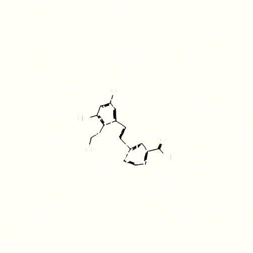 CCCc1c(O)cc(O)cc1C=Cc1cccc(C(=O)O)c1